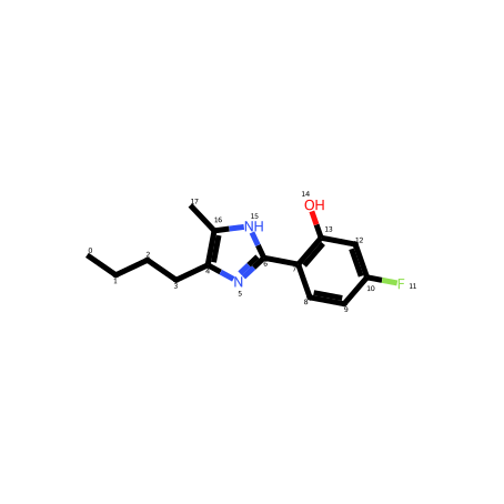 CCCCc1nc(-c2ccc(F)cc2O)[nH]c1C